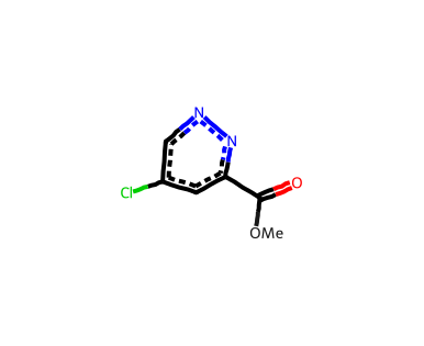 COC(=O)c1cc(Cl)cnn1